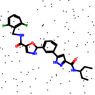 CCC(CC)NC(=O)c1cc(-c2cccc(C3NC=C(C(=O)NCc4c(F)cccc4F)O3)c2)[nH]n1